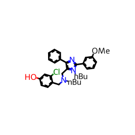 CCCCN(Cc1ccc(O)cc1Cl)Cc1c(-c2ccccc2)nc(-c2cccc(OC)c2)n1CCCC